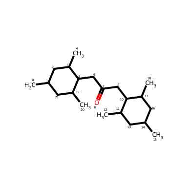 CC1CC(C)C(CC(=O)CC2C(C)CC(C)CC2C)C(C)C1